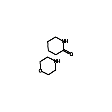 C1COCCN1.O=C1CCCCN1